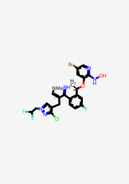 CN/C=C(/Cc1cn(CC(F)F)nc1Cl)C(=N)c1ccc(F)cc1[C@@H](C)Oc1cc(Br)cnc1NO